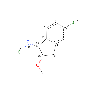 CO[C@H]1Cc2cc(Cl)ccc2[C@H]1NCl